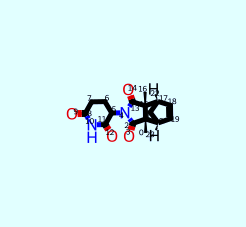 C[C@@]12C(=O)N(C3CCC(=O)NC3=O)C(=O)[C@]1(C)[C@H]1C=C[C@@H]2C1